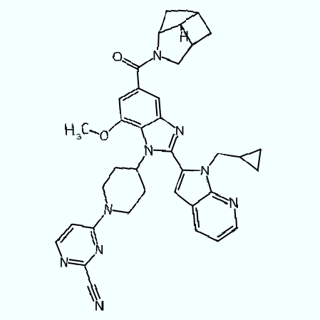 COc1cc(C(=O)N2CC3CC4CC2[C@H]43)cc2nc(-c3cc4cccnc4n3CC3CC3)n(C3CCN(c4ccnc(C#N)n4)CC3)c12